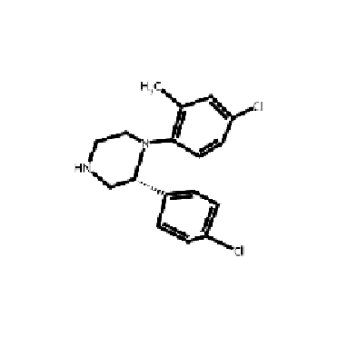 Cc1cc(Cl)ccc1N1CCNC[C@H]1c1ccc(Cl)cc1